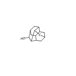 OC1C2CC3C4CC5CC3C1C(C5)C4C2